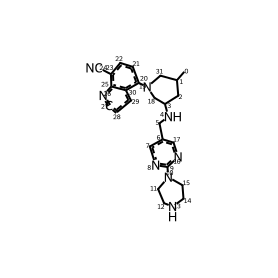 CC1CC(NCc2cnc(N3CCNCC3)nc2)CN(c2ccc(C#N)c3ncccc23)C1